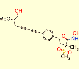 COC(CO)CC#CC#Cc1ccc(CCC(C)(C(=O)NO)S(C)(=O)=O)cc1